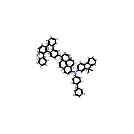 CC1(C)c2ccccc2-c2ccc(N(c3ccc(-c4ccccc4)cc3)c3ccc4ccc5c(-c6ccc7c(c6)c6ccccc6c6ccc8sc9ccccc9c8c67)ccc6ccc3c4c65)cc21